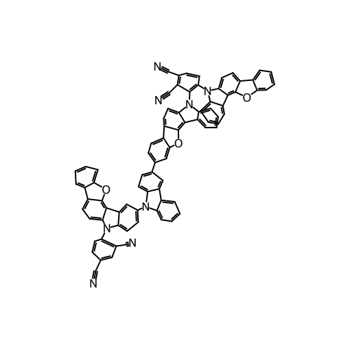 N#Cc1ccc(-n2c3ccc(-n4c5ccccc5c5cc(-c6ccc7c(c6)oc6c7ccc7c6c6ccccc6n7-c6c(-n7c8ccccc8c8c9oc%10ccccc%10c9ccc87)ccc(C#N)c6C#N)ccc54)cc3c3c4oc5ccccc5c4ccc32)c(C#N)c1